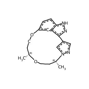 C[C@@H]1CCOc2ccc3[nH]nc(c3c2)-c2cnn(c2)[C@H](C)CCO1